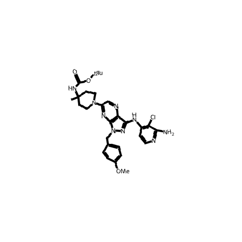 COc1ccc(Cn2nc(Nc3ccnc(N)c3Cl)c3ncc(N4CCC(C)(NC(=O)OC(C)(C)C)CC4)nc32)cc1